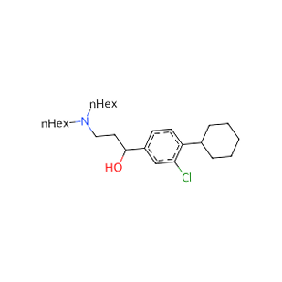 CCCCCCN(CCCCCC)CCC(O)c1ccc(C2CCCCC2)c(Cl)c1